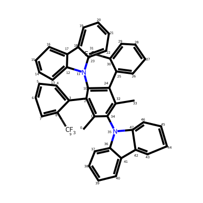 Cc1c(-c2ccccc2C(F)(F)F)c(-n2c3ccccc3c3ccccc32)c(-c2ccccc2C(F)(F)F)c(C)c1-n1c2ccccc2c2ccccc21